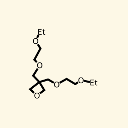 CCOCCOCC1(COCCOCC)COC1